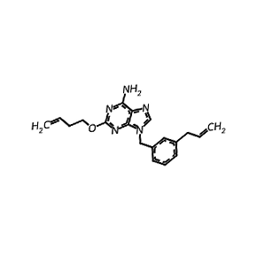 C=CCCOc1nc(N)c2ncn(Cc3cccc(CC=C)c3)c2n1